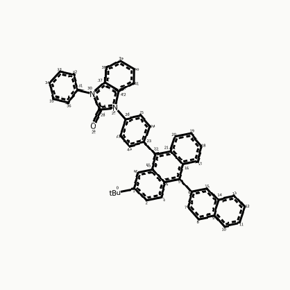 CC(C)(C)c1ccc2c(-c3ccc4ccccc4c3)c3ccccc3c(-c3ccc(-n4c(=O)n(-c5ccccc5)c5ccccc54)cc3)c2c1